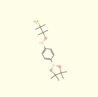 CC(C)(P)C(C)(C)OBc1ccc(B2OC(C)(C)C(C)(C)O2)cc1